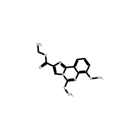 CCOC(=O)c1cn2c(SC)nc3c(OC)cccc3c2n1